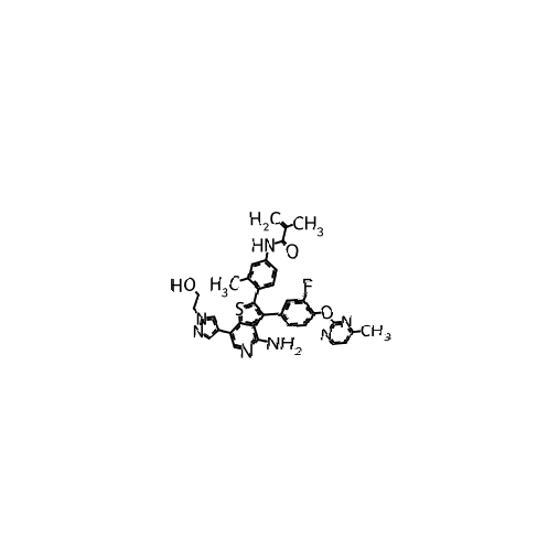 C=C(C)C(=O)Nc1ccc(-c2sc3c(-c4cnn(CCO)c4)cnc(N)c3c2-c2ccc(Oc3nccc(C)n3)c(F)c2)c(C)c1